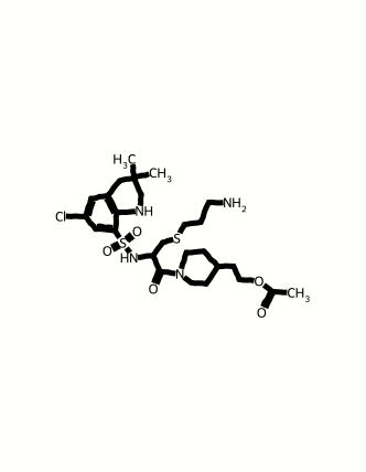 CC(=O)OCCC1CCN(C(=O)C(CSCCCN)NS(=O)(=O)c2cc(Cl)cc3c2NCC(C)(C)C3)CC1